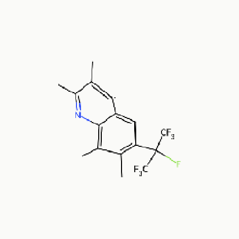 Cc1[c]c2cc(C(F)(C(F)(F)F)C(F)(F)F)c(C)c(C)c2nc1C